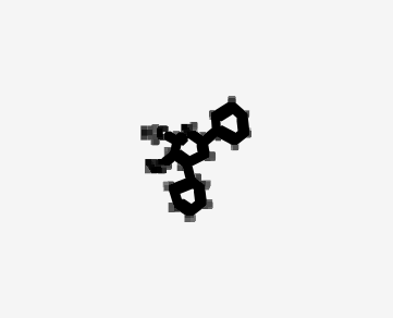 Cc1nc(-c2ccccc2)cc(-c2ccccc2)c1C#N